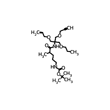 C#CCOCC(COCC=C)(COCCC)NC(=O)C(C)CCCNC(=O)OC(C)(C)C